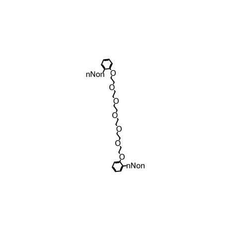 CCCCCCCCCc1ccccc1OCCOCCOCCOCCOCCOCCOc1ccccc1CCCCCCCCC